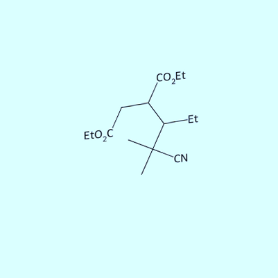 CCOC(=O)CC(C(=O)OCC)C(CC)C(C)(C)C#N